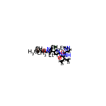 CCc1c(-c2ccc(NC(=O)C(NC(=O)c3ccnn3CC)C(C3CC3)C3CC3)nc2F)c(C)nn1COCCS(C)(C)C